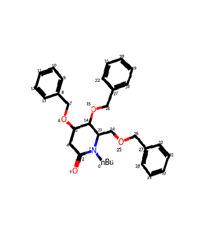 CCCCN1C(=O)CC(OCc2ccccc2)C(OCc2ccccc2)C1COCc1ccccc1